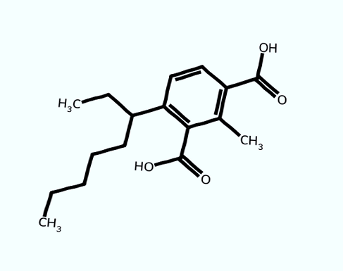 CCCCCC(CC)c1ccc(C(=O)O)c(C)c1C(=O)O